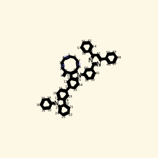 C=C1/C=C\C=C/C/C=C\c2c1c1cc(-c3ccc4c(c3)c3ccccc3n4-c3ccccc3)ccc1n2-c1cccc(-c2nc(-c3ccccc3)cc(-c3ccccc3)n2)c1